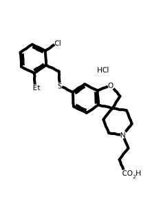 CCc1cccc(Cl)c1CSc1ccc2c(c1)OCC21CCN(CCC(=O)O)CC1.Cl